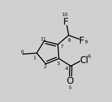 CC1C=C(C(=O)Cl)C(C(F)F)=C1